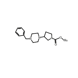 CC(C)(C)OC(=O)N1CCC(N2CCN(Cc3ccccc3)CC2)C1